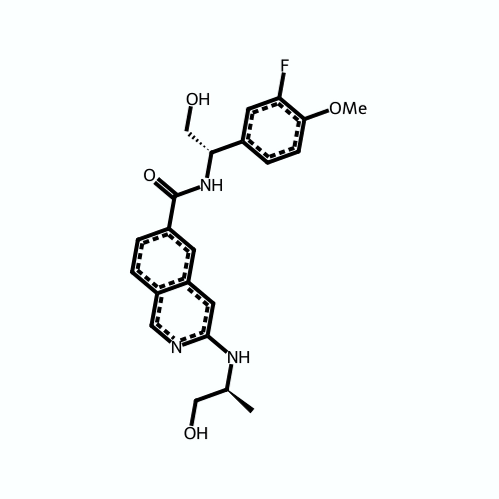 COc1ccc([C@@H](CO)NC(=O)c2ccc3cnc(N[C@@H](C)CO)cc3c2)cc1F